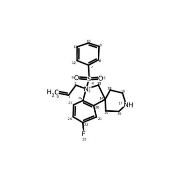 C=CC[N+]1(S(=O)(=O)c2ccccc2)CC2(CCNCC2)c2cc(F)ccc21